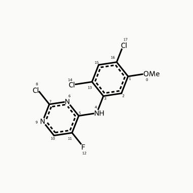 COc1cc(Nc2nc(Cl)ncc2F)c(Cl)cc1Cl